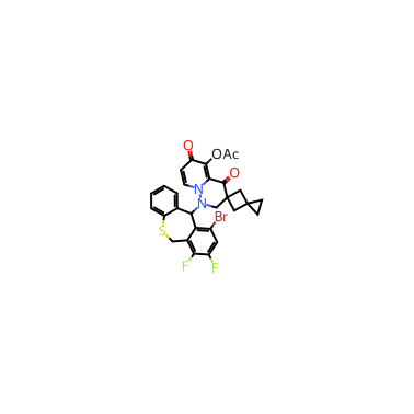 CC(=O)Oc1c2n(ccc1=O)N(C1c3ccccc3SCc3c(F)c(F)cc(Br)c31)CC1(CC3(CC3)C1)C2=O